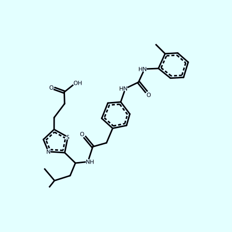 Cc1ccccc1NC(=O)Nc1ccc(CC(=O)NC(CC(C)C)c2ncc(CCC(=O)O)s2)cc1